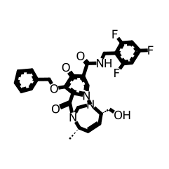 C[C@H]1C=C[C@@H](CO)N2CN1C(=O)c1c(OCc3ccccc3)c(=O)c(C(=O)NCc3c(F)cc(F)cc3F)cn12